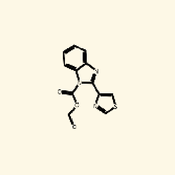 O=C(OCCl)n1c(-c2cscn2)nc2ccccc21